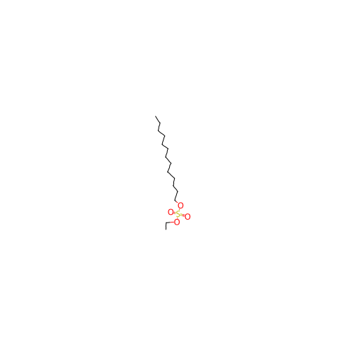 CCCCCCCCCCCCCOS(=O)(=O)OCC